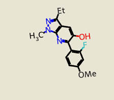 CCc1nn(C)c2nc(-c3ccc(OC)cc3F)c(O)cc12